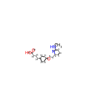 CNc1cccc(CCOc2ccc(CCCC(=O)O)cc2)n1